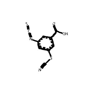 N#CSc1cc(N=C=S)cc(C(=O)O)c1